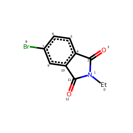 CCN1C(=O)c2ccc(Br)cc2C1=O